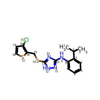 CC(C)c1ccccc1Nc1n[nH]c(SCc2sccc2Cl)n1